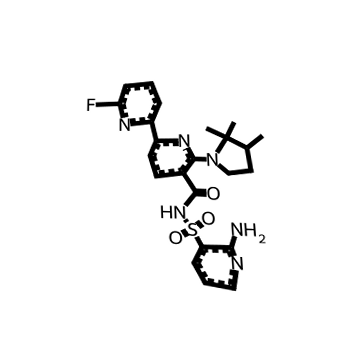 CC1CCN(c2nc(-c3cccc(F)n3)ccc2C(=O)NS(=O)(=O)c2cccnc2N)C1(C)C